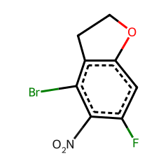 O=[N+]([O-])c1c(F)cc2c(c1Br)CCO2